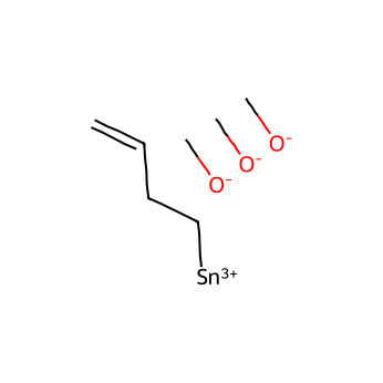 C=CC[CH2][Sn+3].C[O-].C[O-].C[O-]